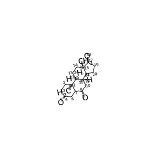 C[C@]12CCC(=O)CC1C(=O)C[C@@H]1[C@@H]2CC[C@]2(C)C(=O)CC[C@@H]12